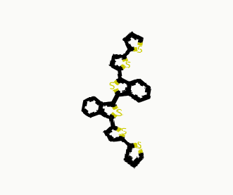 c1csc(-c2ccc(-c3sc(-c4sc(-c5ccc(-c6cccs6)s5)c5ccccc45)c4ccccc34)s2)c1